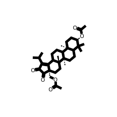 CC(=O)OC[C@@]12CC[C@]3(C)C(CCC4[C@@]5(C)CC[C@H](OC(C)=O)C(C)(C)C5CC[C@]43C)C1=C(C(C)C)C(=O)C2=O